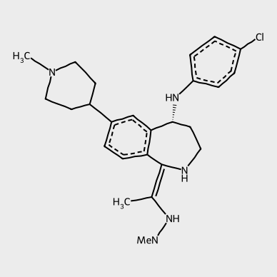 CNN/C(C)=C1\NCC[C@@H](Nc2ccc(Cl)cc2)c2cc(C3CCN(C)CC3)ccc21